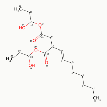 CCCCCC/C=C/C(CC(=O)OC(O)CC)C(=O)OC(O)CC